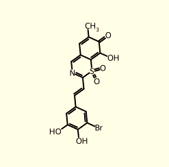 CC1=CC2=CN=C(/C=C/c3cc(O)c(O)c(Br)c3)S(=O)(=O)C2=C(O)C1=O